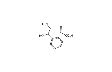 C=CC(=O)O.NCC(O)c1ccccc1